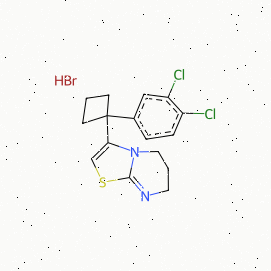 Br.Clc1ccc(C2(C3=CSC4=NCCCN34)CCC2)cc1Cl